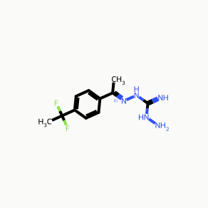 C/C(=N\NC(=N)NN)c1ccc(C(C)(F)F)cc1